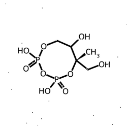 C[C@@]1(CO)OP(=O)(O)OP(=O)(O)OCC1O